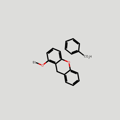 CCOc1cccc2c1Cc1ccccc1O2.O=C(O)c1ccccc1